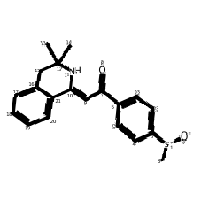 C[S+]([O-])c1ccc(C(=O)/C=C2\NC(C)(C)Cc3ccccc32)cc1